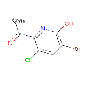 COC(=O)c1nc(O)c(Br)cc1Cl